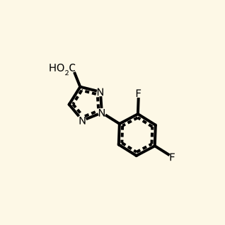 O=C(O)c1cnn(-c2ccc(F)cc2F)n1